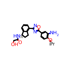 CC(C)Oc1ccc(-c2nc(-c3cccc4c3CC[C@@H]4NC(=O)CO)no2)cc1N